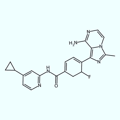 Cc1nc(C2=CC=C(C(=O)Nc3cc(C4CC4)ccn3)CC2F)c2c(N)nccn12